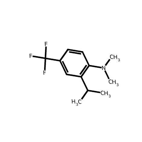 CC(C)c1cc(C(F)(F)F)ccc1N(C)C